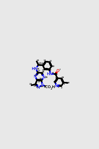 Cc1cncc(C(=O)Nc2cccc(C(C)Nc3cnc4c(n3)c(C)nn4C(=O)O)c2)c1